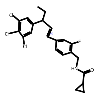 CCC(/C=C/c1ccc(CNC(=O)C2CC2)c(F)c1)c1cc(Cl)c(Cl)c(Cl)c1